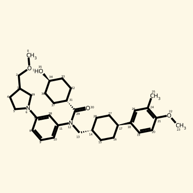 COCC1CCN(c2cccc(N(C[C@H]3CC[C@H](c4ccc(OC)c(C)c4)CC3)C(=O)[C@H]3CC[C@H](O)CC3)c2)C1